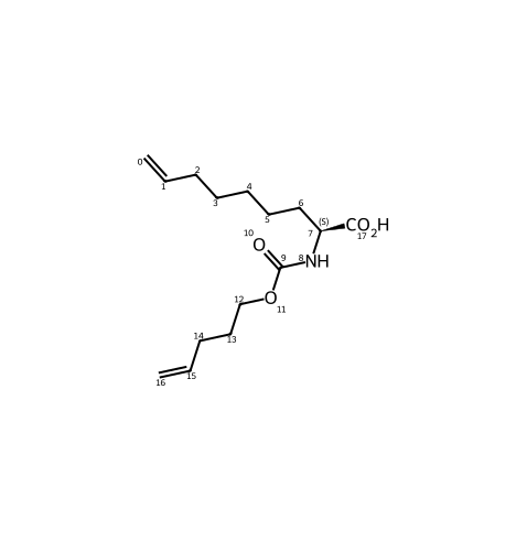 C=CCCCCC[C@H](NC(=O)OCCCC=C)C(=O)O